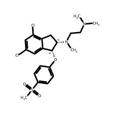 CN(C)CCN(C)[C@H]1Cc2c(Cl)cc(Cl)cc2[C@H]1Oc1ccc(S(C)(=O)=O)cc1